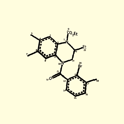 CCOC(=O)N1c2cc(C)c(C)cc2N(C(=O)c2cccc(C)c2Br)CC1CC